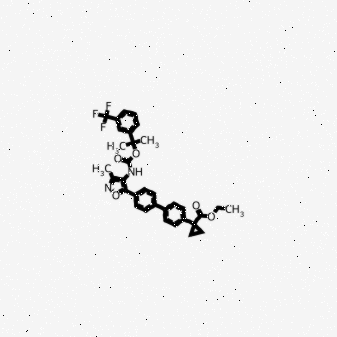 CCOC(=O)C1(c2ccc(-c3ccc(-c4onc(C)c4NC(=O)OC(C)(C)c4cccc(C(F)(F)F)c4)cc3)cc2)CC1